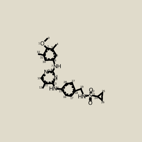 COc1c(C)cc(Nc2ncc(C)c(Nc3ccc(CNS(=O)(=O)C4CC4)cc3)n2)cc1C